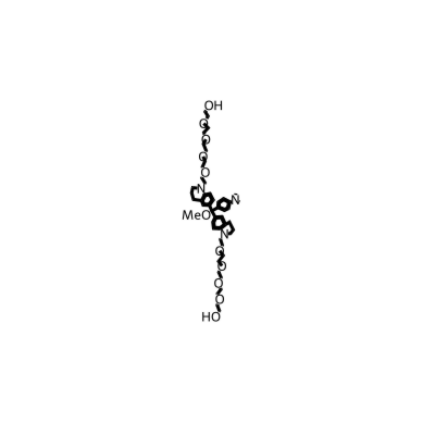 COC(c1ccc(N(C)C)cc1)(c1ccc2c(c1)CCCN2CCOCCOCCOCCOCCO)c1ccc2c(c1)CCCN2CCOCCOCCOCCOCCO